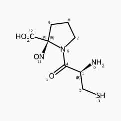 N[C@@H](CS)C(=O)N1CCC[C@@]1(N=O)C(=O)O